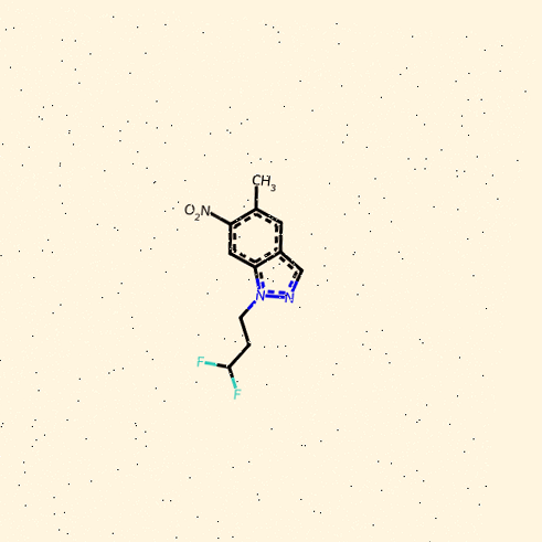 Cc1cc2cnn(CCC(F)F)c2cc1[N+](=O)[O-]